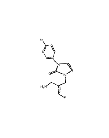 NC/C(=C/F)Cn1ncn(-c2ccc(Br)nc2)c1=O